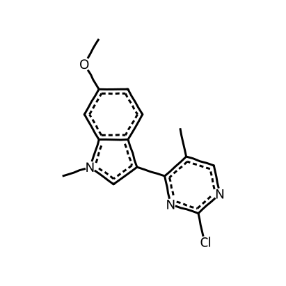 COc1ccc2c(-c3nc(Cl)ncc3C)cn(C)c2c1